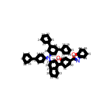 c1ccc(-c2ccc(N(c3cc(-c4ccccc4)cc(-c4ccccc4)c3)c3cc4ccccc4c4c3oc3cc(-c5nc6ccccc6o5)ccc34)cc2)cc1